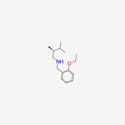 CCOc1ccccc1CNC[C@@H](C)C(C)C